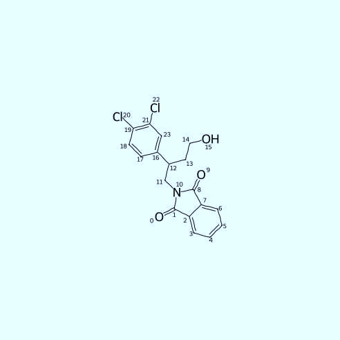 O=C1c2ccccc2C(=O)N1CC(CCO)c1ccc(Cl)c(Cl)c1